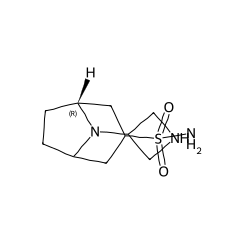 NS(=O)(=O)C1CC2CC[C@H](C1)N2C1CNC1